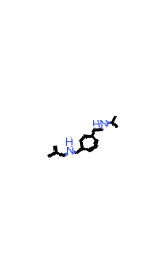 CC(C)CNCC1C=C=CC(CCNC(C)C)=CC1